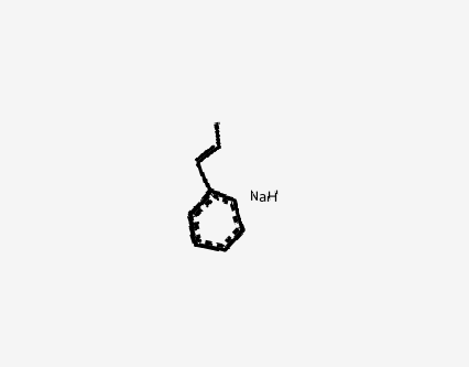 [CH2]/C=C/c1ccccc1.[NaH]